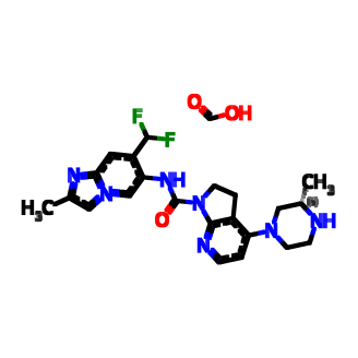 Cc1cn2cc(NC(=O)N3CCc4c(N5CCN[C@@H](C)C5)ccnc43)c(C(F)F)cc2n1.O=CO